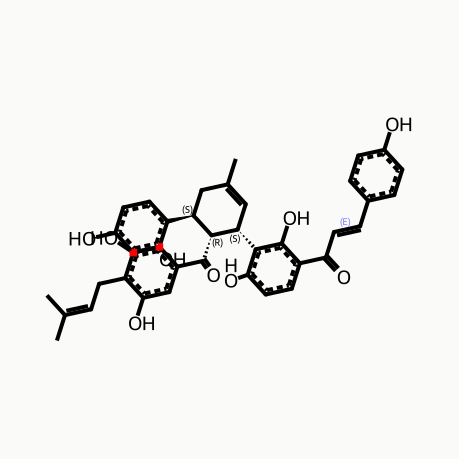 CC(C)=CCc1c(O)cc(C(=O)[C@H]2[C@@H](c3c(O)ccc(C(=O)/C=C/c4ccc(O)cc4)c3O)C=C(C)C[C@@H]2c2ccc(O)cc2O)cc1O